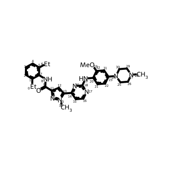 CCc1cccc(CC)c1NC(=O)c1cc(-c2ccnc(Nc3ccc(N4CCN(C)CC4)cc3OC)n2)n(C)n1